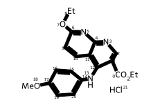 CCOC(=O)c1cnc2nc(OCC)ccc2c1Nc1ccc(OC)cc1.Cl